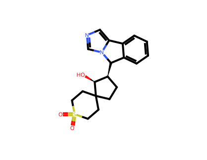 O=S1(=O)CCC2(CC[C@H](C3c4ccccc4-c4cncn43)[C@@H]2O)CC1